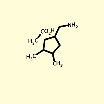 CC(=O)O.CC1CC(CN)CC1C